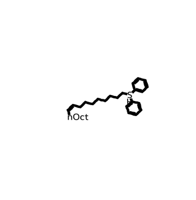 CCCCCCCC/C=C\CCCCCCCC[SH](c1ccccc1)c1ccccc1